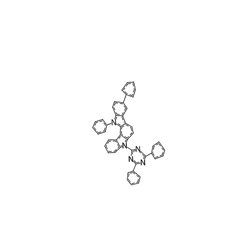 c1ccc(-c2ccc3c(c2)c2ccc4c(c5ccccc5n4-c4nc(-c5ccccc5)nc(-c5ccccc5)n4)c2n3-c2ccccc2)cc1